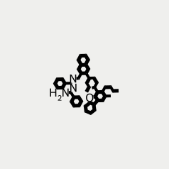 C=C/C=C\c1c(C)cc2c(oc3ccccc32)c1C(C)/C=C\C(=C/C=C)c1cc2ccccc2cc1C/N=C(\N=C(/N)c1ccccc1)c1ccccc1